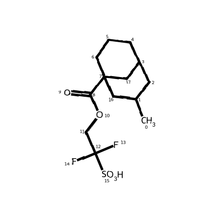 CC1CC2CCCC(C(=O)OCC(F)(F)S(=O)(=O)O)(C1)C2